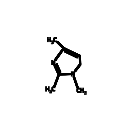 CC1=CCN(C)C(C)=N1